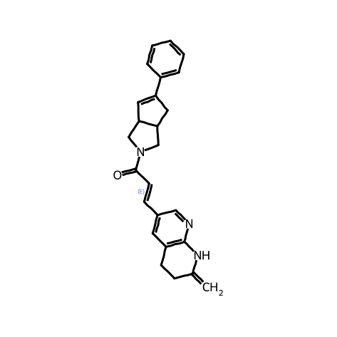 C=C1CCc2cc(/C=C/C(=O)N3CC4C=C(c5ccccc5)CC4C3)cnc2N1